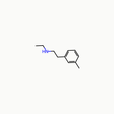 [CH2]CNCCc1cccc(C)c1